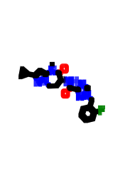 CN1C(=O)[C@@H](NC(=O)c2ncn(Cc3ccccc3F)n2)CCn2nc(C3CC3)cc21